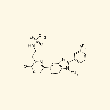 Cn1c(-c2cccc(C(F)(F)F)c2)nc2cc(C3=NN(CCNS(C)(=O)=O)C(=O)SC3)ccc21